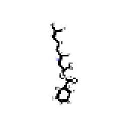 CC(C)=CCC/C(C)=C/C(F)OC(=O)c1ccccc1